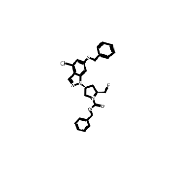 O=C(OCc1ccccc1)N1C[C@@H](n2ncc3c(Cl)cc(SCc4ccccc4)cc32)C[C@H]1CF